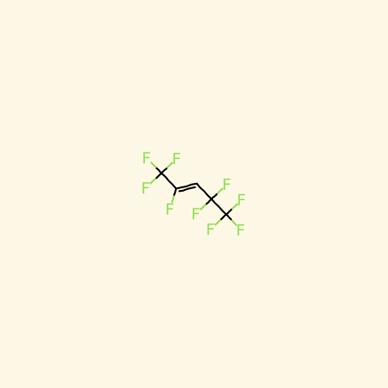 F/C(=C\C(F)(F)C(F)(F)F)C(F)(F)F